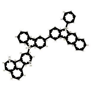 c1ccc(-n2c3ccc(-c4ccc5c(c4)c4ccccc4n5-c4cnc5c(c4)-c4nccc6cccc-5c46)cc3c3cc4ccccc4cc32)cc1